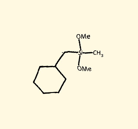 CO[Si](C)([CH]C1CCCCC1)OC